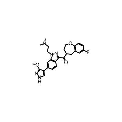 COc1n[nH]cc1-c1ccc2c(C(=O)C3CCOc4ccc(F)cc4C3)nn(CCN(C)C)c2c1